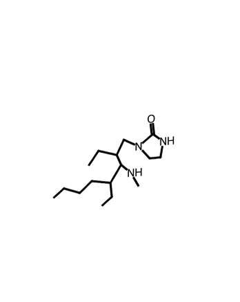 CCCCC(CC)C(NC)C(CC)CN1CCNC1=O